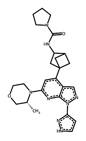 C[C@@H]1COCCN1c1cc(C23CC(C2)C(NC(=O)N2CCCC2)C3)c2cnn(-c3cc[nH]n3)c2n1